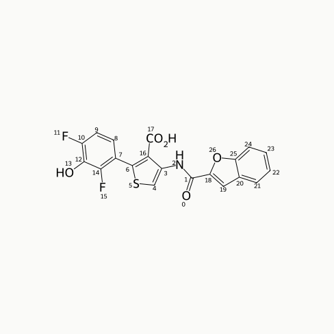 O=C(Nc1csc(-c2ccc(F)c(O)c2F)c1C(=O)O)c1cc2ccccc2o1